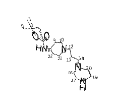 CC(C)(C)OC(=O)NC1CCN(CCCN2CCNCC2)CC1